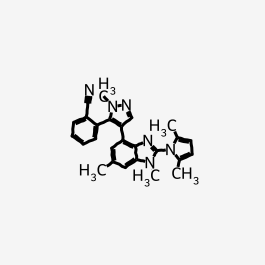 Cc1cc(-c2cnn(C)c2-c2ccccc2C#N)c2nc(-n3c(C)ccc3C)n(C)c2c1